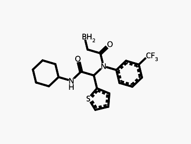 BCC(=O)N(c1cccc(C(F)(F)F)c1)C(C(=O)NC1CCCCC1)c1cccs1